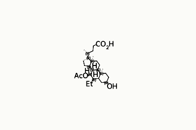 CC[C@@H]1C2C[C@H](O)CC[C@]2(C)[C@H]2CC[C@]3(C)[C@@H]([C@H](C)CCC(=O)O)CC[C@H]3[C@@H]2[C@@H]1OC(C)=O